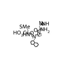 CSCC[C@H](NC(=O)CN(Cc1cccc2ccccc12)C[C@@H]1CCCN1C(=O)[C@@H](N)Cc1c[nH]cn1)C(=O)O